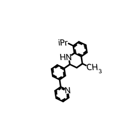 CC(C)c1cccc2c1NC(c1cccc(-c3ccccn3)c1)CC2C